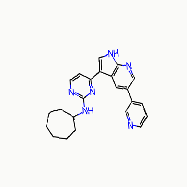 c1cncc(-c2cnc3[nH]cc(-c4ccnc(NC5CCCCCC5)n4)c3c2)c1